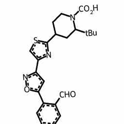 CC(C)(C)C1CC(c2nc(-c3cc(-c4ccccc4C=O)on3)cs2)CCN1C(=O)O